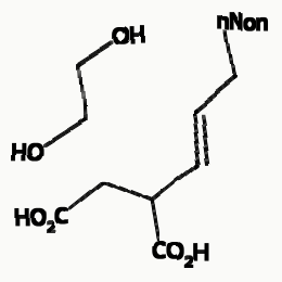 CCCCCCCCCCC=CC(CC(=O)O)C(=O)O.OCCO